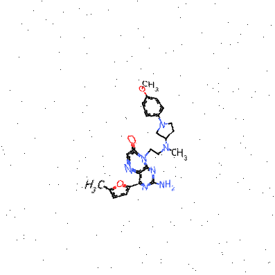 COc1ccc(N2CCC(N(C)CCn3c(=O)cnc4c(-c5ccc(C)o5)nc(N)nc43)C2)cc1